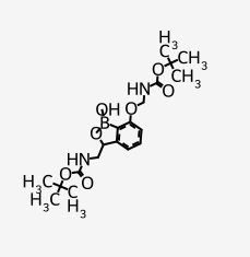 CC(C)(C)OC(=O)NCOc1cccc2c1B(O)OC2CNC(=O)OC(C)(C)C